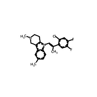 C/C(=C\n1c2c(c3cc(C)ccc31)CN(C)CC2)c1cc(F)c(F)cc1Cl